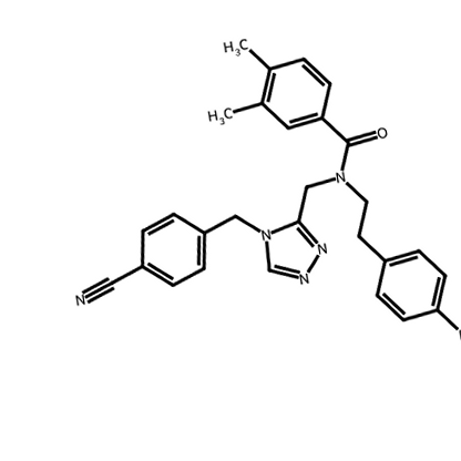 Cc1ccc(C(=O)N(CCc2ccc(Br)cc2)Cc2nncn2Cc2ccc(C#N)cc2)cc1C